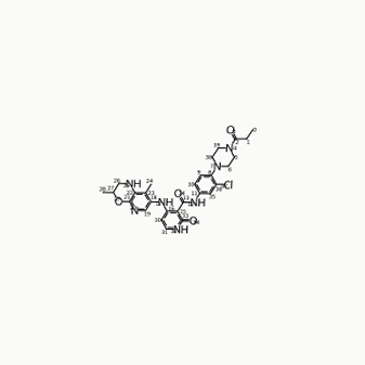 CCC(=O)N1CCN(c2ccc(NC(=O)c3c(Nc4cnc5c(c4C)NCC(C)O5)cc[nH]c3=O)cc2Cl)CC1